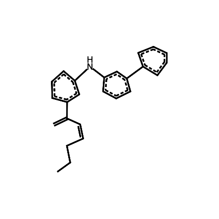 C=C(/C=C\CCC)c1cccc(Nc2cccc(-c3ccccc3)c2)c1